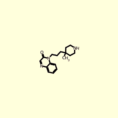 CC1(CCCn2c(=O)cnc3ccccc32)CCNCC1